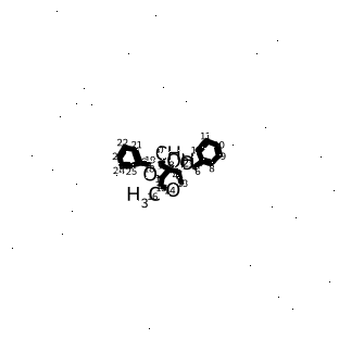 C=CC1(O)C(OCc2ccccc2)COC(C)[C@H]1OCc1ccccc1